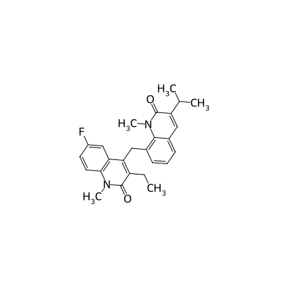 CCc1c(Cc2cccc3cc(C(C)C)c(=O)n(C)c23)c2cc(F)ccc2n(C)c1=O